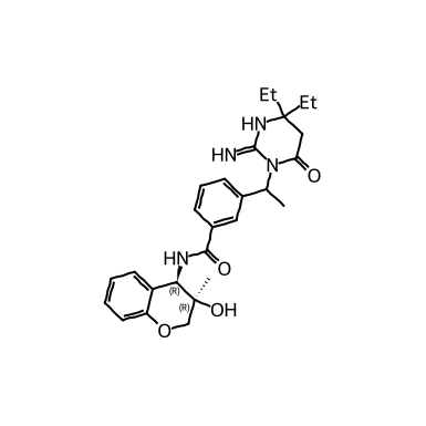 CCC1(CC)CC(=O)N(C(C)c2cccc(C(=O)N[C@@H]3c4ccccc4OC[C@]3(C)O)c2)C(=N)N1